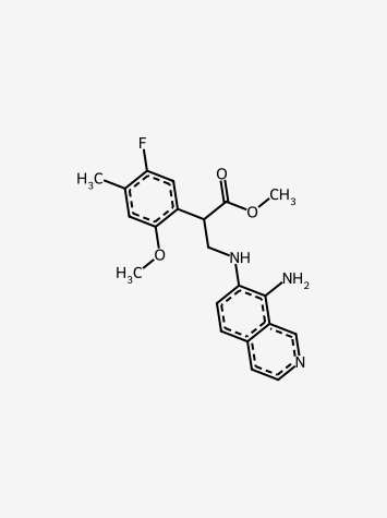 COC(=O)C(CNc1ccc2ccncc2c1N)c1cc(F)c(C)cc1OC